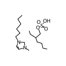 CCCCC(CC)COS(=O)(=O)O.CCCCCCN1C=CN(C)C1